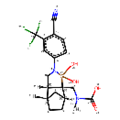 CN(C[C@@]12[C@@H]3CC[C@@H](C3)[C@@H]1CN(c1ccc(C#N)c(C(F)(F)F)c1)S2(O)O)C(=O)O